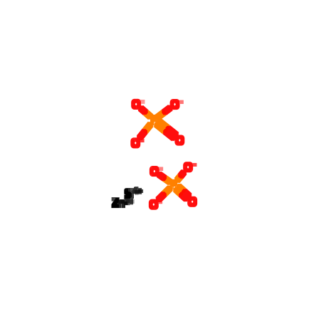 O=P([O-])([O-])[O-].O=P([O-])([O-])[O-].[Si+4].[Zn+2]